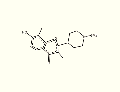 CSN1CCC(c2oc3c(C)c(O)ccc3c(=O)c2C)CC1